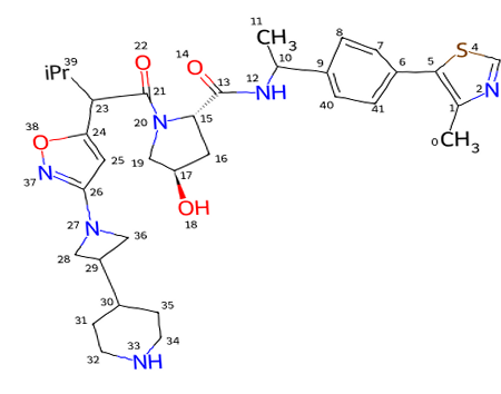 Cc1ncsc1-c1ccc(C(C)NC(=O)[C@@H]2C[C@@H](O)CN2C(=O)C(c2cc(N3CC(C4CCNCC4)C3)no2)C(C)C)cc1